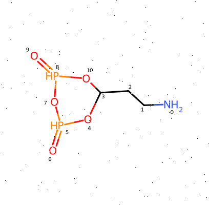 NCCC1O[PH](=O)O[PH](=O)O1